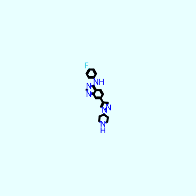 Fc1ccc(Nc2ncnc3cc(-c4cnn(C5CCNCC5)c4)ccc23)cc1